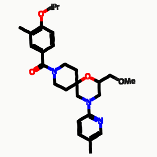 COCC1CN(c2ccc(C)cn2)CC2(CCN(C(=O)c3ccc(OC(C)C)c(C)c3)CC2)O1